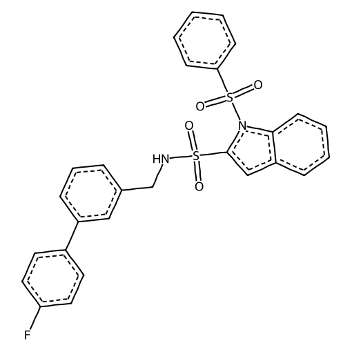 O=S(=O)(NCc1cccc(-c2ccc(F)cc2)c1)c1cc2ccccc2n1S(=O)(=O)c1ccccc1